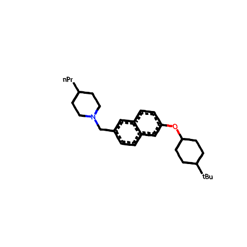 CCCC1CCN(Cc2ccc3cc(OC4CCC(C(C)(C)C)CC4)ccc3c2)CC1